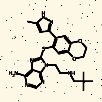 Cc1cc(-c2cc3c(cc2Sc2nc4c(N)ncnc4n2CCNCC(C)(C)C)OCCO3)n[nH]1